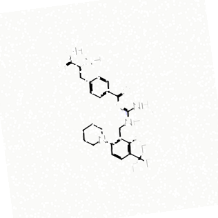 N/C(=N\C(=O)c1ccc(C[C@H](N)C(=O)O)cc1)NCc1c(N2CCCCC2)ccc(C(F)(F)F)c1Cl